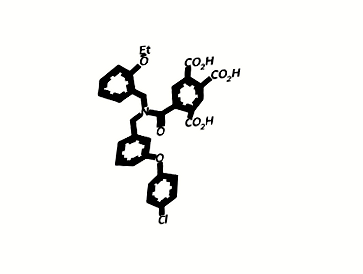 CCOc1ccccc1CN(Cc1cccc(Oc2ccc(Cl)cc2)c1)C(=O)c1cc(C(=O)O)c(C(=O)O)cc1C(=O)O